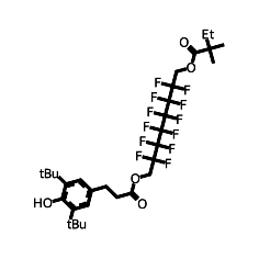 CCC(C)(C)C(=O)OCC(F)(F)C(F)(F)C(F)(F)C(F)(F)C(F)(F)C(F)(F)COC(=O)CCc1cc(C(C)(C)C)c(O)c(C(C)(C)C)c1